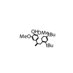 C=C(CC1=C(C(C)(C)C)C=C(C(C)(C)C)CC1)c1cc(OC)c(O)c(OC)c1